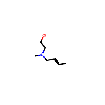 C/C=C/CN(C)CCO